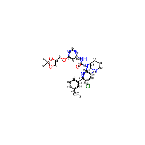 CC1(C)OC[C@H](COc2cc(NC(=O)N3c4nc(-c5cccc(C(F)(F)F)c5)c(Cl)cc4N4CCCC3C4)ncn2)O1